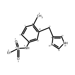 CCS(=O)(=O)Nc1ccc(C)c(Cc2c[nH]cn2)c1